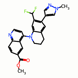 COC(=O)c1ccc2nccc(N3CCCc4cc(-c5cnn(C)c5)c(C(F)F)cc43)c2c1